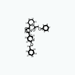 O=C(COc1ccccc1)N1CCCCC1c1nc(-c2ccc(OCc3ccccc3)nc2)no1